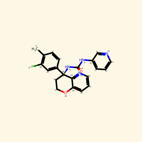 Cc1ccc([C@@]2(NC(=O)Nc3cccnc3)CCOc3cccnc32)cc1F